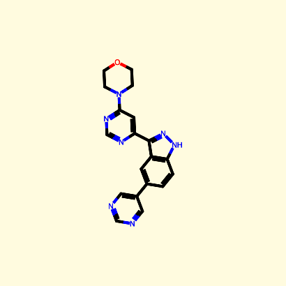 c1ncc(-c2ccc3[nH]nc(-c4cc(N5CCOCC5)ncn4)c3c2)cn1